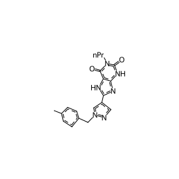 CCCn1c(=O)[nH]c2nc(-c3cnn(Cc4ccc(C)cc4)c3)[nH]c2c1=O